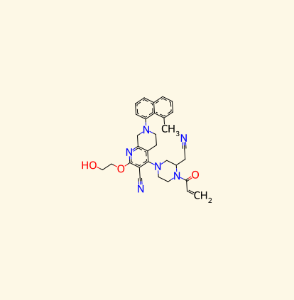 C=CC(=O)N1CCN(c2c(C#N)c(OCCO)nc3c2CCN(c2cccc4cccc(C)c24)C3)CC1CC#N